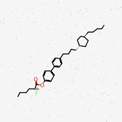 CCCCC[C@H]1CC[C@H](CCCCc2ccc(-c3ccc(OC(=O)[C@H](F)CCCC)cc3)cc2)CC1